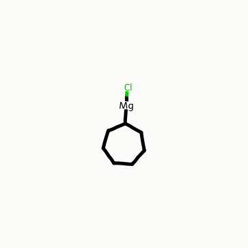 [Cl][Mg][CH]1CCCCCC1